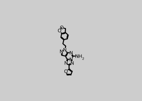 Nc1nc2c(cnn2CCc2ccc3c(c2)OOC3)c2nc(-c3ccco3)nn12